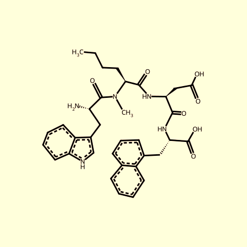 CCCC[C@@H](C(=O)N[C@@H](CC(=O)O)C(=O)N[C@@H](Cc1cccc2ccccc12)C(=O)O)N(C)C(=O)[C@@H](N)Cc1c[nH]c2ccccc12